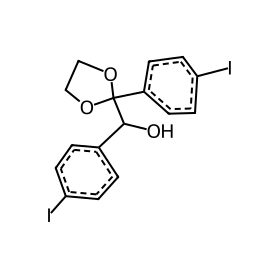 OC(c1ccc(I)cc1)C1(c2ccc(I)cc2)OCCO1